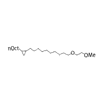 CCCCCCCCC1CC1CCCCCCC[CH]CCOCCOC